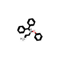 C=CC[SiH](Oc1ccccc1)C(c1ccccc1)c1ccccc1